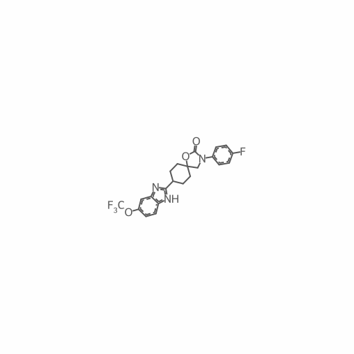 O=C1OC2(CCC(c3nc4cc(OC(F)(F)F)ccc4[nH]3)CC2)CN1c1ccc(F)cc1